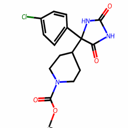 CC(C)(C)OC(=O)N1CCC(C2(c3ccc(Cl)cc3)NC(=O)NC2=O)CC1